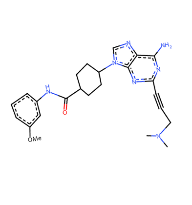 COc1cccc(NC(=O)C2CCC(n3cnc4c(N)nc(C#CCN(C)C)nc43)CC2)c1